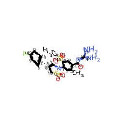 Cc1cc(N2C[C@@H](c3ccc(F)cc3)CS2(=O)=O)c(S(C)(=O)=O)cc1C(=O)N=C(N)N